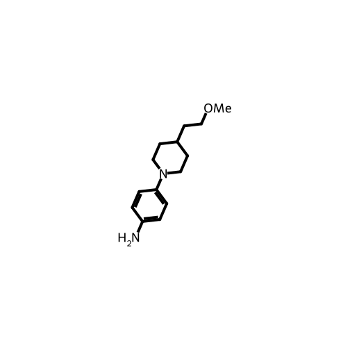 COCCC1CCN(c2ccc(N)cc2)CC1